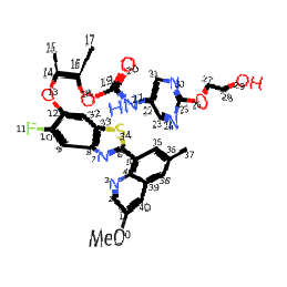 COc1cnc2c(-c3nc4cc(F)c(O[C@@H](C)[C@@H](C)OC(=O)Nc5cnc(OCCO)nc5)cc4s3)cc(C)cc2c1